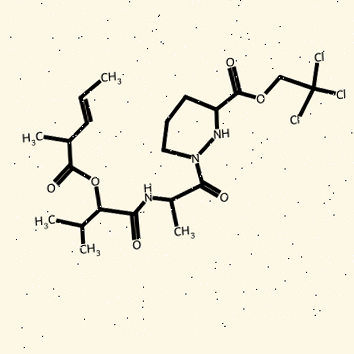 C/C=C/C(C)C(=O)OC(C(=O)NC(C)C(=O)N1CCCC(C(=O)OCC(Cl)(Cl)Cl)N1)C(C)C